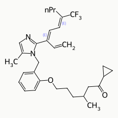 C=C/C(=C\C=C(/CCC)C(F)(F)F)c1ncc(C)n1Cc1ccccc1OCCCC(C)CC(=O)C1CC1